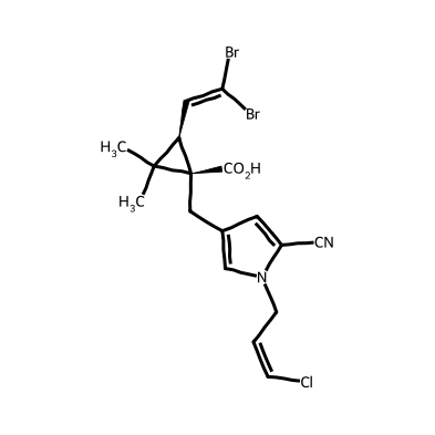 CC1(C)[C@@H](C=C(Br)Br)[C@@]1(Cc1cc(C#N)n(C/C=C\Cl)c1)C(=O)O